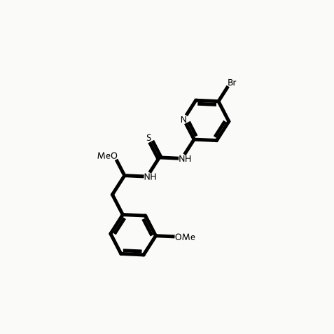 COc1cccc(CC(NC(=S)Nc2ccc(Br)cn2)OC)c1